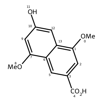 COc1cc(C(=O)O)cc2c(OC)cc(O)cc12